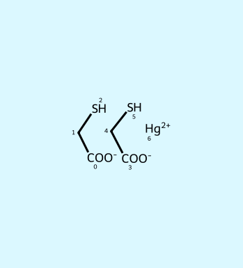 O=C([O-])CS.O=C([O-])CS.[Hg+2]